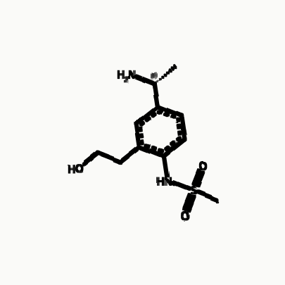 C[C@@H](N)c1ccc(NS(C)(=O)=O)c(CCO)c1